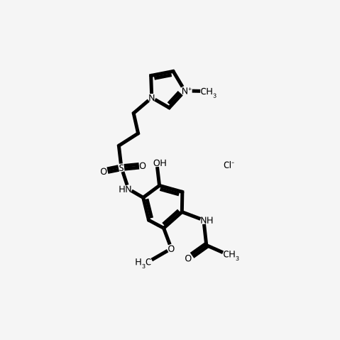 COc1cc(NS(=O)(=O)CCCn2cc[n+](C)c2)c(O)cc1NC(C)=O.[Cl-]